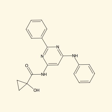 O=C(Nc1cc(Nc2ccccc2)nc(-c2ccccc2)n1)C1(O)CC1